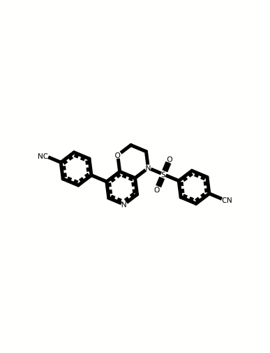 N#Cc1ccc(-c2cncc3c2OCCN3S(=O)(=O)c2ccc(C#N)cc2)cc1